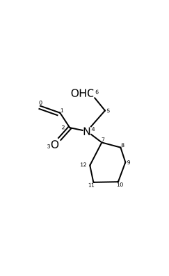 C=CC(=O)N(CC=O)C1CCCCC1